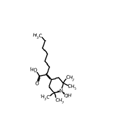 CCCCCCC(C(=O)O)C1CC(C)(C)N(O)C(C)(C)C1